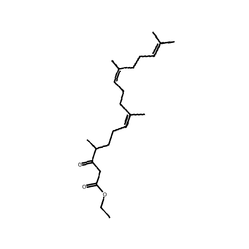 CCOC(=O)CC(=O)C(C)CCC=C(C)CCC=C(C)CCC=C(C)C